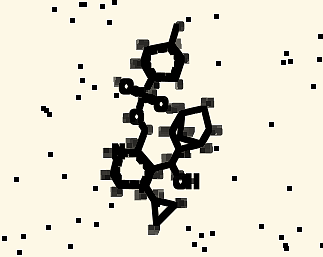 Cc1ccc(S(=O)(=O)OCc2nccc(C3CC3)c2C(O)C2CC3CCC2C3)cc1